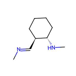 C/N=C/[C@H]1CCCC[C@@H]1NC